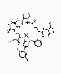 CC(C)[C@H](NC(=O)CCCC(=O)ON1C(=O)CCC1=O)C(=O)N[C@@H](C)C(=O)N[C@@H](CCN(C(=O)CO)[C@@H](c1cc(-c2cc(F)ccc2F)cn1Cc1ccccc1)C(C)(C)C)C(=O)O